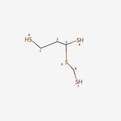 SCCC(S)SCS